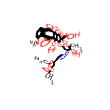 COc1cccc2c1C(=O)c1c(O)c3c(c(O)c1C2=O)C[C@@](O)(C(=O)CO)C[C@@H]3OC1CC(NCCCCC(OC(C)=O)OC(C)=O)C(O)C(C)O1